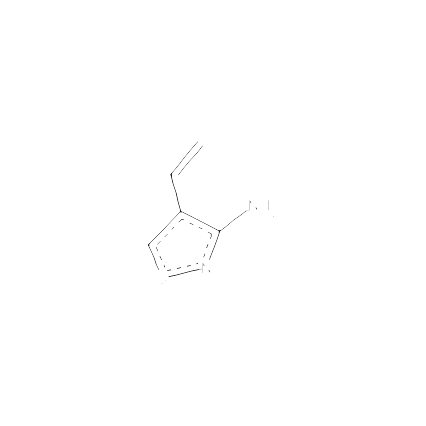 C=Cc1csnc1N